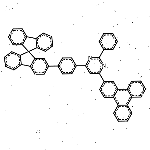 c1ccc(-c2nc(-c3ccc(-c4ccc5c(c4)C4(c6ccccc6-c6ccccc64)c4ccccc4-5)cc3)cc(-c3ccc4c5ccccc5c5ccccc5c4c3)n2)cc1